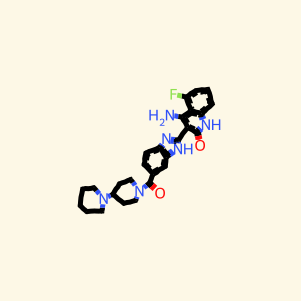 Nc1c(-c2nc3ccc(C(=O)N4CCC(N5CCCCC5)CC4)cc3[nH]2)c(=O)[nH]c2cccc(F)c12